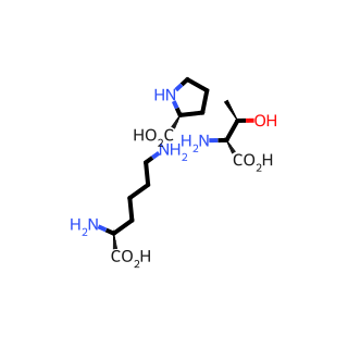 C[C@@H](O)[C@H](N)C(=O)O.NCCCC[C@H](N)C(=O)O.O=C(O)[C@@H]1CCCN1